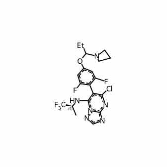 CCC(Oc1cc(F)c(-c2c(Cl)nc3ncnn3c2N[C@@H](C)C(F)(F)F)c(F)c1)N1CCC1